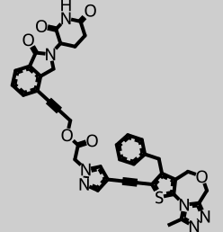 Cc1nnc2n1-c1sc(C#Cc3cnn(CC(=O)OCC#Cc4cccc5c4CN(C4CCC(=O)NC4=O)C5=O)c3)c(Cc3ccccc3)c1COC2